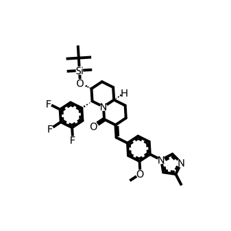 COc1cc(/C=C2\CC[C@@H]3CC[C@@H](O[Si](C)(C)C(C)(C)C)[C@@H](c4cc(F)c(F)c(F)c4)N3C2=O)ccc1-n1cnc(C)c1